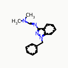 CN(C)C=Nc1nn(Cc2ccccc2)c2ccccc12